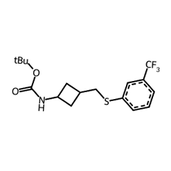 CC(C)(C)OC(=O)NC1CC(CSc2cccc(C(F)(F)F)c2)C1